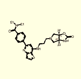 CCN(CC)C(=O)c1ccc(-c2cc(NCCCN3C[C@@H]4OC(=O)N[C@@H]4C3)c3sccc3n2)cc1